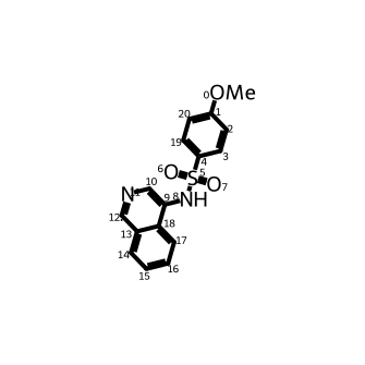 COc1ccc(S(=O)(=O)Nc2cn[c]c3ccccc23)cc1